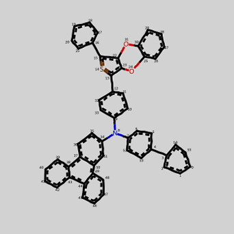 c1ccc(-c2ccc(N(c3ccc(-c4sc(-c5ccccc5)c5c4Oc4ccccc4O5)cc3)c3ccc4c5ccccc5c5ccccc5c4c3)cc2)cc1